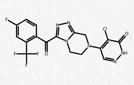 O=C(c1ccc(F)cc1C(F)(F)F)c1nnc2n1CCN(c1cn[nH]c(=O)c1Cl)C2